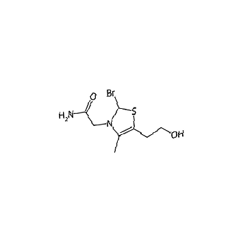 CC1=C(CCO)SC(Br)N1CC(N)=O